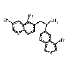 CCc1cnc2ccc(CC(C)c3ccc4cncc(C(C)C)c4c3)c(C(C)C)c2c1